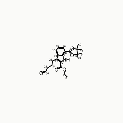 CCOC(=O)c1[nH]c2c(B3OC(C)(C)C(C)(C)O3)cccc2c1CCCC=O